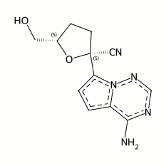 N#C[C@@]1(c2ccc3c(N)ncnn23)CC[C@@H](CO)O1